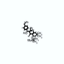 CC(C)Cc1ccc([C@H](O)c2c(C(C)C)nc3c(c2I)[C@@H](O[Si](C)(C)C(C)(C)C)CC(C)(C)C3)cc1